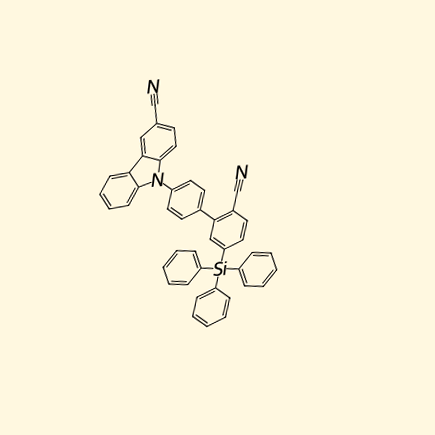 N#Cc1ccc2c(c1)c1ccccc1n2-c1ccc(-c2cc([Si](c3ccccc3)(c3ccccc3)c3ccccc3)ccc2C#N)cc1